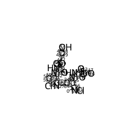 Cc1cc(-c2cc3c(=O)c(S(=O)(=O)CC4COC4)c[nH]c3nc2-c2ccc(Cc3cc(-c4cc5c(=O)cc(S(=O)(=O)CCc6ccc(O)cc6)[nH]c5nc4-c4ccccc4)cc(Cl)n3)cc2)cc(Cl)n1